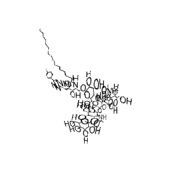 CCCCCCCCCCCCCCCCCC(=O)N[C@@H](CO[C@@H]1OC(CO)[C@@H](O[C@@H]2OC(CO)[C@H](O[C@@H]3OC(CO)[C@H](O)C(O[C@@H]4OC(CO)[C@H](O)C(O)C4O)C3NC(C)=O)C(O[C@]3(C=O)CC(O)[C@@H](NC(C)=O)C([C@H](O)[C@H](O)CO)O3)C2O)C(O)C1O)[C@H](O)/C=C/c1nnc(-c2ccc(C)cc2)[nH]1